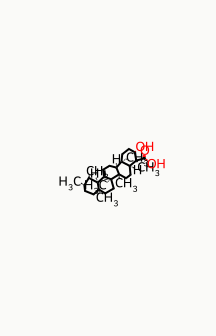 C[C@@H]1[C@H]2C3=CC[C@H]4[C@@]5(C)CC[C@H](O)[C@](C)(C(=O)O)[C@H]5CC[C@@]4(C)[C@@]3(C)CC[C@@]2(C)CC[C@@H]1C